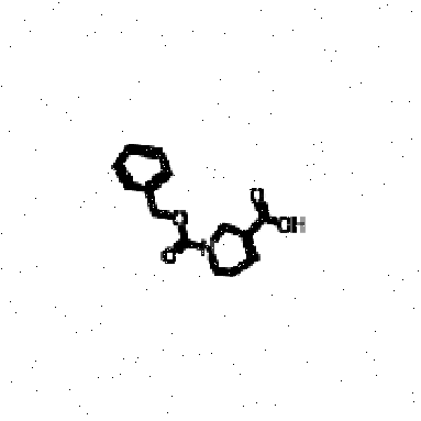 O=C(O)C1=CCCN(C(=O)OCc2ccccc2)C1